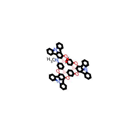 CN1c2cc3c(cc2B2c4ccccc4Oc4c2c1c1c2ccccc2n2c5ccccc5c4c12)B1c2cc4c(cc2Oc2c1c(c1c5ccccc5n5c6ccccc6c2c15)O3)Oc1c2c(c3c5ccccc5n5c6ccccc6c1c35)Oc1ccccc1B42